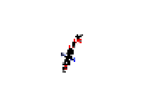 C=C(C)C(=O)OCCCOc1ccc(C(C#N)=C(C#N)c2ccc(OCC)cc2)cc1